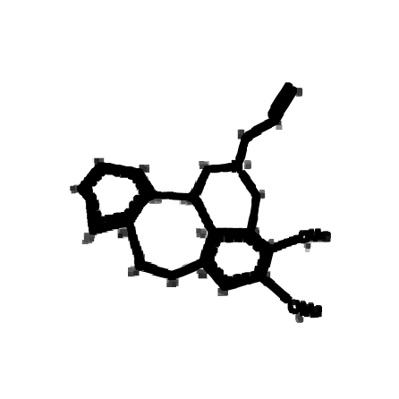 C=CCN1Cc2c(OC)c(OC)cc3c2C(C1)c1ccccc1CC3